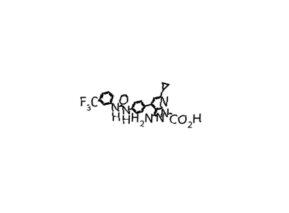 Nc1nn(CC(=O)O)c2nc(C3CC3)cc(-c3ccc(NC(=O)Nc4cccc(C(F)(F)F)c4)cc3)c12